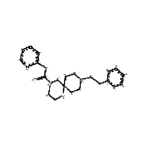 O=C(Cc1ccccn1)N1CCOC2(CCN(CCc3ccccc3)CC2)C1